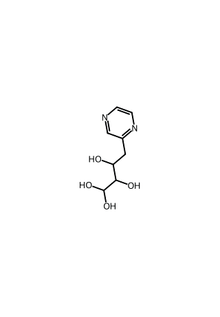 OC(O)C(O)C(O)Cc1cnccn1